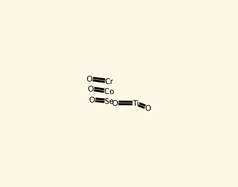 O=[Se].[O]=[Co].[O]=[Cr].[O]=[Ti]=[O]